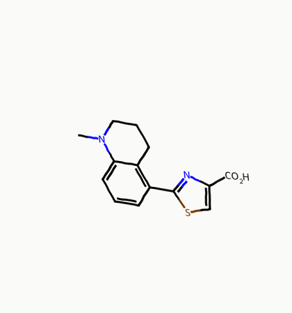 CN1CCCc2c(-c3nc(C(=O)O)cs3)cccc21